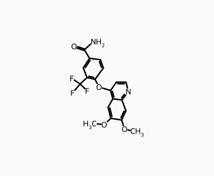 COc1cc2nccc(Oc3ccc(C(N)=O)cc3C(F)(F)F)c2cc1OC